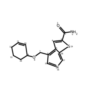 NC(=O)c1cc2c(COC3C=CCCC3)cncc2s1